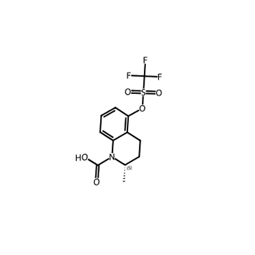 C[C@H]1CCc2c(OS(=O)(=O)C(F)(F)F)cccc2N1C(=O)O